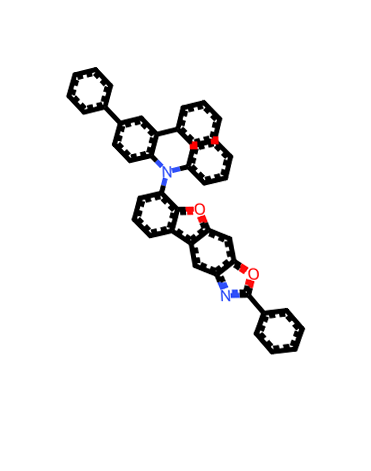 c1ccc(-c2ccc(N(c3ccccc3)c3cccc4c3oc3cc5oc(-c6ccccc6)nc5cc34)c(-c3ccccc3)c2)cc1